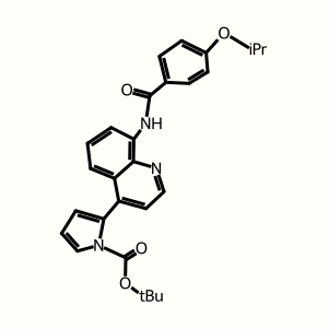 CC(C)Oc1ccc(C(=O)Nc2cccc3c(-c4cccn4C(=O)OC(C)(C)C)ccnc23)cc1